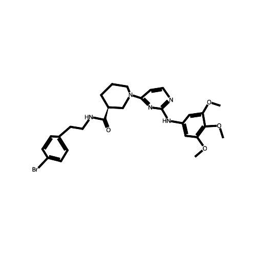 COc1cc(Nc2nccc(N3CCC[C@H](C(=O)NCCc4ccc(Br)cc4)C3)n2)cc(OC)c1OC